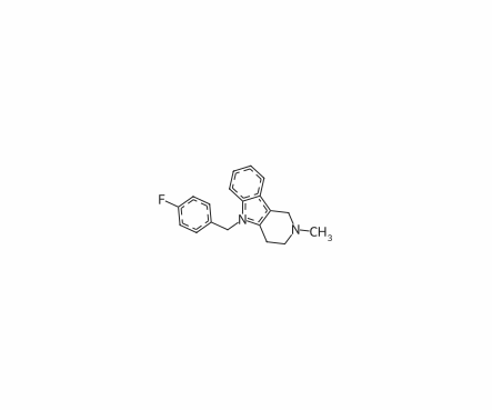 CN1CCc2c(c3ccccc3n2Cc2ccc(F)cc2)C1